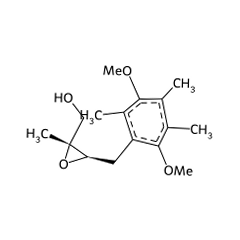 COc1c(C)c(C)c(OC)c(C[C@H]2O[C@]2(C)CO)c1C